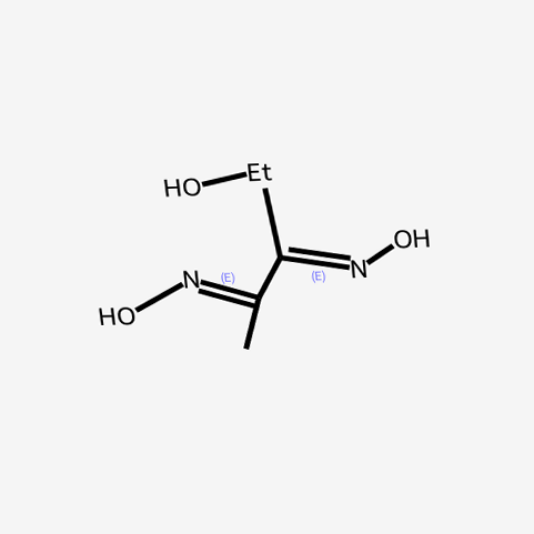 CC(=N\O)/C(C)=N/O.CCO